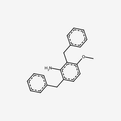 COc1ccc(Cc2ccccc2)c(N)c1Cc1ccccc1